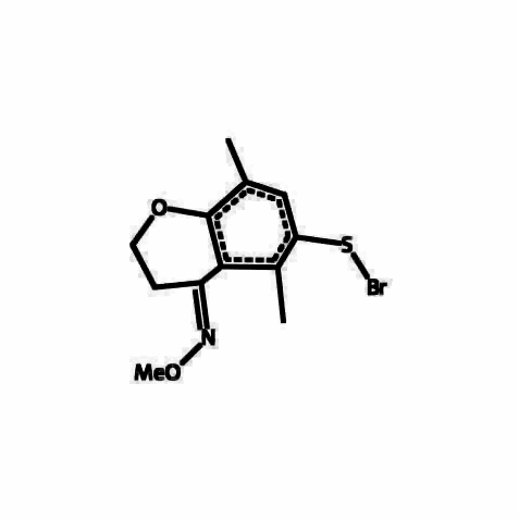 CON=C1CCOc2c(C)cc(SBr)c(C)c21